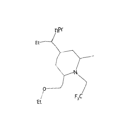 CCCC(CC)C1CC(C)N(CC(F)(F)F)C(COCC)C1